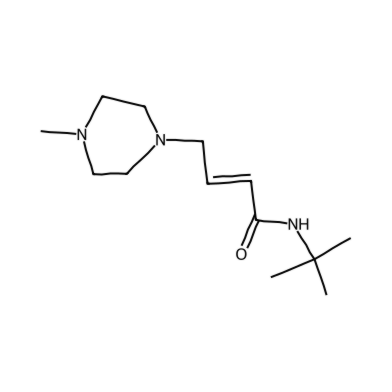 CN1CCN(C/C=C/C(=O)NC(C)(C)C)CC1